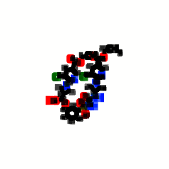 CCOC(=O)c1cnc(N2CC(C(=O)O)C2)c(Cl)c1.CCOC(=O)c1cnc(N2CC(NC(=O)NS(=O)(=O)c3ccccc3)C2)c(Cl)c1